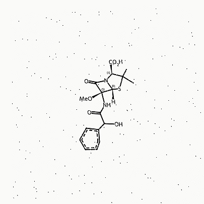 CO[C@@]1(NC(=O)C(O)c2ccccc2)C(=O)N2[C@@H](C(=O)O)C(C)(C)S[C@@H]21